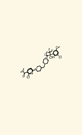 COc1cc(Cl)cc([C@@](O)(C(=O)N2CCC(CC3CCN(c4ccc(C(=O)N(C)C)c(Cl)n4)CC3)CC2)C(F)(F)F)c1